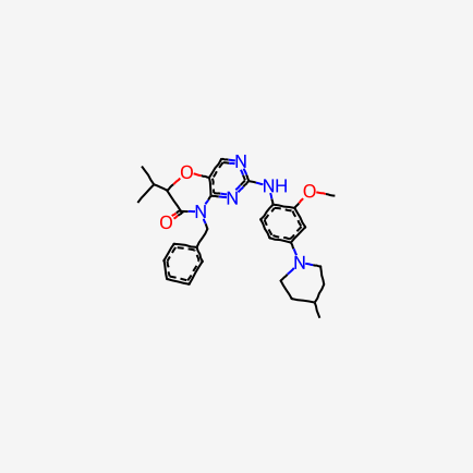 COc1cc(N2CCC(C)CC2)ccc1Nc1ncc2c(n1)N(Cc1ccccc1)C(=O)C(C(C)C)O2